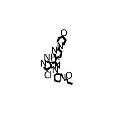 C=CC(=O)N1CCC[C@@H](n2nc(-c3ccc(-n4ccc(=O)cc4)nc3)c3c(N)ncc(Cl)c32)C1